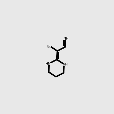 N=CC(Br)=C1NCCCN1